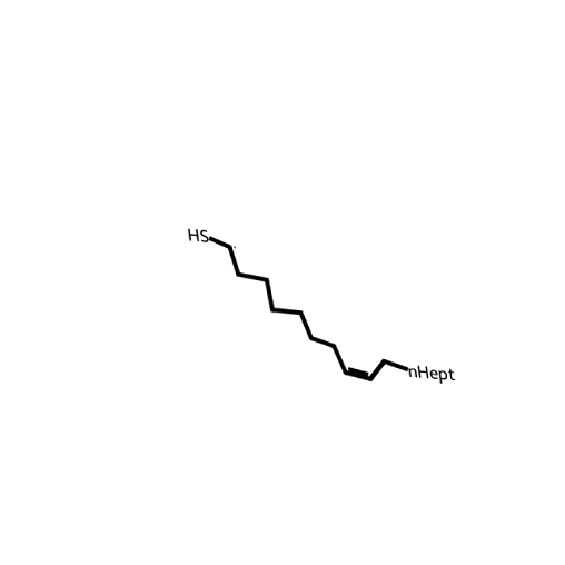 CCCCCCCC/C=C\CCCCCC[CH]S